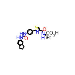 CC(C)C(NC(=O)c1csc(-c2ccc(NC(=O)Nc3ccc4c(c3)CCC4)cc2)n1)C(=O)O